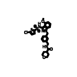 COc1cccc2c1c(NS(=O)(=O)c1ccc(Cl)s1)nn2Cc1cccc(CNC(=O)C2CCOCC2)c1